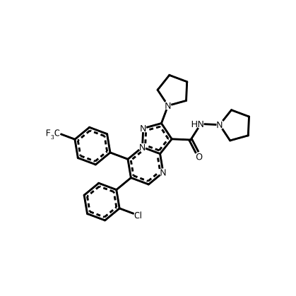 O=C(NN1CCCC1)c1c(N2CCCC2)nn2c(-c3ccc(C(F)(F)F)cc3)c(-c3ccccc3Cl)cnc12